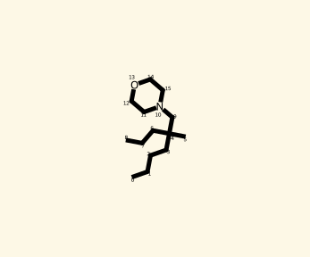 CCCCC(C)(CCC)CN1CCOCC1